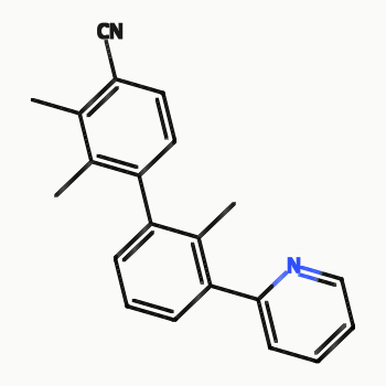 Cc1c(-c2ccccn2)cccc1-c1ccc(C#N)c(C)c1C